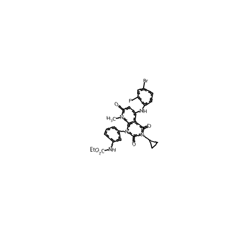 CCOC(=O)Nc1cccc(-n2c(=O)n(C3CC3)c(=O)c3c(Nc4ccc(Br)cc4F)cc(=O)n(C)c32)c1